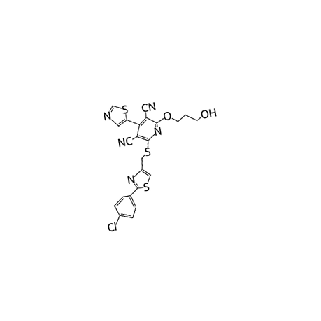 N#Cc1c(OCCCO)nc(SCc2csc(-c3ccc(Cl)cc3)n2)c(C#N)c1-c1cncs1